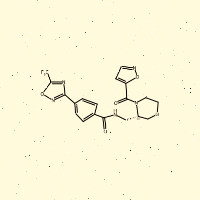 O=C(NC[C@H]1COCCN1C(=O)c1ccno1)c1ccc(-c2noc(C(F)(F)F)n2)cc1